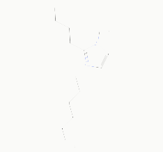 CCCCCC[n+]1ccn(C)c1CCCC